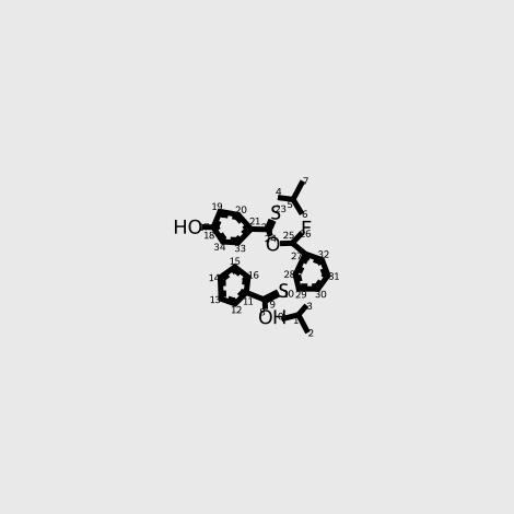 CC(C)C.CC(C)C.OC(=S)c1ccccc1.Oc1ccc(C(=S)OC(F)c2ccccc2)cc1